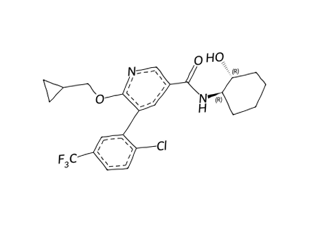 O=C(N[C@@H]1CCCC[C@H]1O)c1cnc(OCC2CC2)c(-c2cc(C(F)(F)F)ccc2Cl)c1